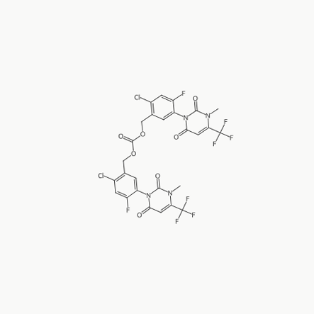 Cn1c(C(F)(F)F)cc(=O)n(-c2cc(COC(=O)OCc3cc(-n4c(=O)cc(C(F)(F)F)n(C)c4=O)c(F)cc3Cl)c(Cl)cc2F)c1=O